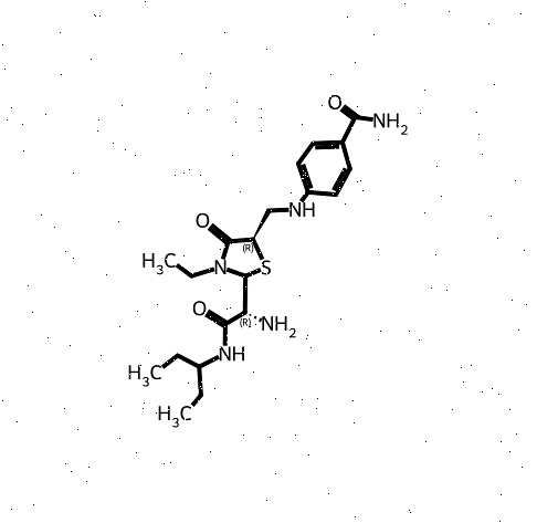 CCC(CC)NC(=O)[C@@H](N)C1S[C@H](CNc2ccc(C(N)=O)cc2)C(=O)N1CC